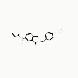 C=CC(=O)Nc1ccc2c(c1)C(=O)N(Cc1ccc(OC)cc1)C2